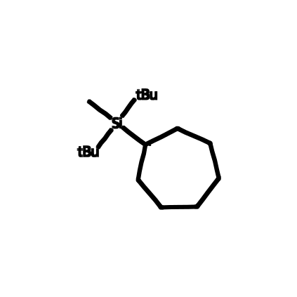 CC(C)(C)[Si](C)([C]1CCCCCC1)C(C)(C)C